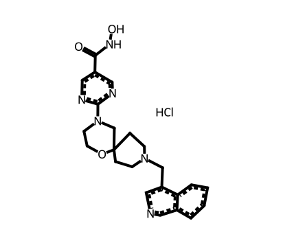 Cl.O=C(NO)c1cnc(N2CCOC3(CCN(Cc4cncc5ccccc45)CC3)C2)nc1